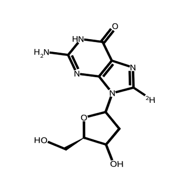 [2H]c1nc2c(=O)[nH]c(N)nc2n1C1CC(O)[C@@H](CO)O1